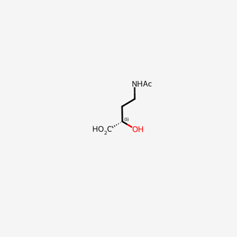 CC(=O)NCC[C@H](O)C(=O)O